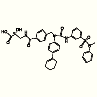 CN(c1ccccc1)S(=O)(=O)c1cccc(NC(=O)N(Cc2ccc(C(=O)NC[C@@H](O)C(=O)O)cc2)c2ccc(C3=CCCCC3)cc2)c1